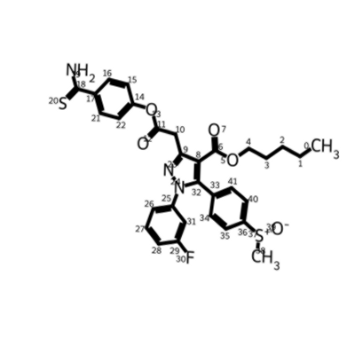 CCCCCOC(=O)c1c(CC(=O)Oc2ccc(C(N)=S)cc2)nn(-c2cccc(F)c2)c1-c1ccc([S+](C)[O-])cc1